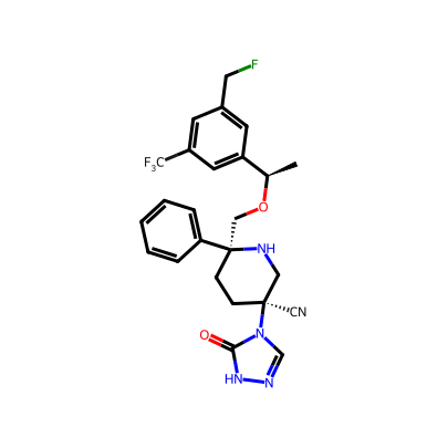 C[C@@H](OC[C@@]1(c2ccccc2)CC[C@](C#N)(n2cn[nH]c2=O)CN1)c1cc(CF)cc(C(F)(F)F)c1